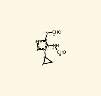 O=CNc1ncn(C2CC2)c1NC=O